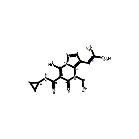 C/C(=C\c1cnn2c(O)c(C(=O)NC3CC3)c(=O)n(CC(C)C)c12)C(=O)O